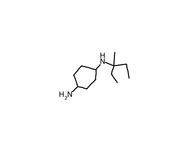 CCC(C)(CC)NC1CCC(N)CC1